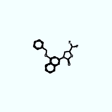 O=C1OC(C(F)F)CN1c1cc(OCc2ccccc2)c2ccccc2c1